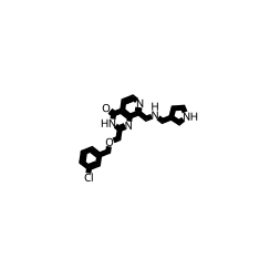 O=c1[nH]c(COCc2cccc(Cl)c2)nc2c(CNCC3CCNC3)nccc12